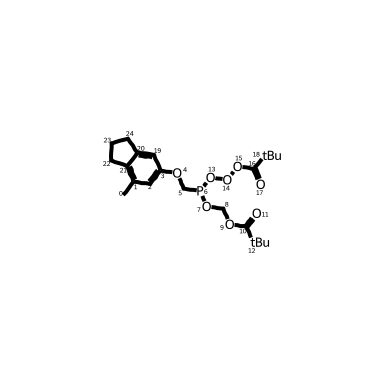 Cc1cc(OCP(OCOC(=O)C(C)(C)C)OOOC(=O)C(C)(C)C)cc2c1CCC2